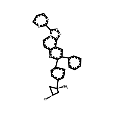 N[C@]1(c2ccc(-c3nc4ccn5c(-c6ncccn6)nnc5c4cc3-c3ccccc3)cc2)C[C@H](O)C1